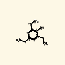 CCc1cc(CN)cc(OC)c1O